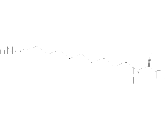 CCCCCCCCCCCCCCCCCCNC(=S)CC